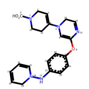 O=C(O)N1CC=C(N2C=C(Oc3ccc(NN4C=CC=CC4)cc3)N=CC2)CC1